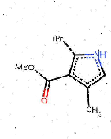 COC(=O)c1c(C)c[nH]c1C(C)C